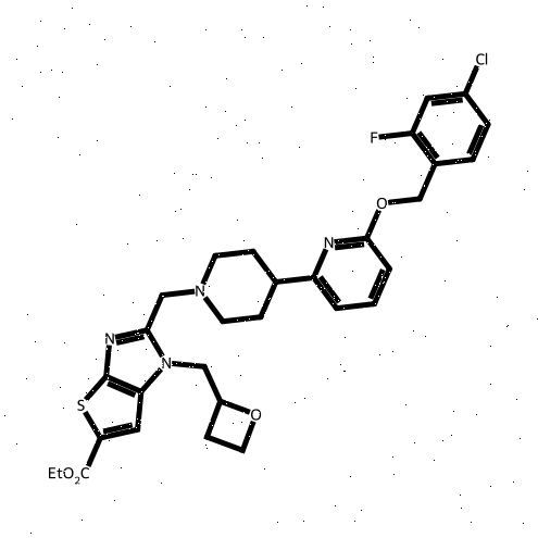 CCOC(=O)c1cc2c(nc(CN3CCC(c4cccc(OCc5ccc(Cl)cc5F)n4)CC3)n2CC2CCO2)s1